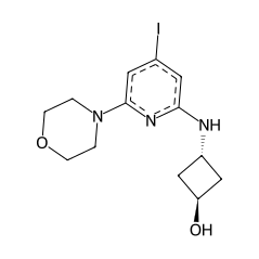 O[C@H]1C[C@H](Nc2cc(I)cc(N3CCOCC3)n2)C1